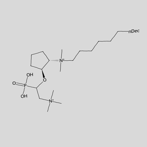 CCCCCCCCCCCCCCCC[N+](C)(C)[C@H]1CCC[C@@H]1OC(C[N+](C)(C)C)P(=O)(O)O